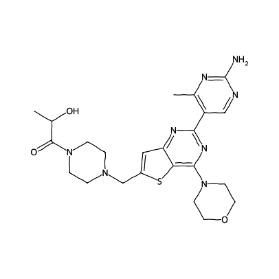 Cc1nc(N)ncc1-c1nc(N2CCOCC2)c2sc(CN3CCN(C(=O)C(C)O)CC3)cc2n1